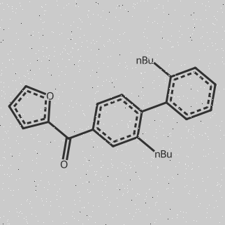 CCCCc1ccccc1-c1ccc(C(=O)c2ccco2)cc1CCCC